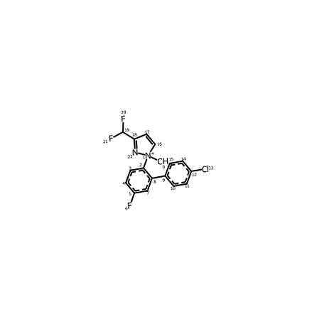 C[N+]1(c2ccc(F)cc2-c2ccc(Cl)cc2)C=[C]C(C(F)F)=N1